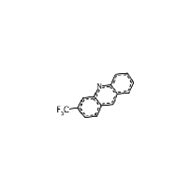 FC(F)(F)c1ccc2cc3ccccc3nc2c1